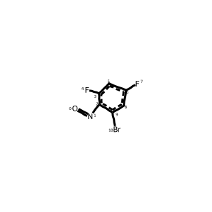 O=Nc1c(F)cc(F)cc1Br